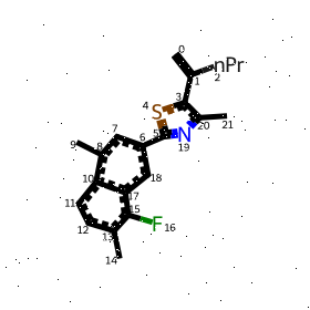 C=C(CCC)c1sc(-c2cc(C)c3ccc(C)c(F)c3c2)nc1C